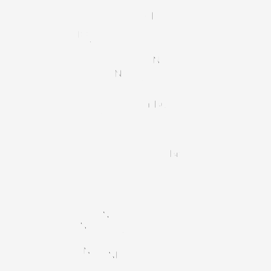 CCCCc1nc(Cl)c(C(=O)O)n1Cc1ccc2sc(-c3ccccc3-c3nnn[nH]3)c(Br)c2c1